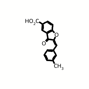 Cc1cccc(C=C2Oc3ccc(C(=O)O)cc3C2=O)c1